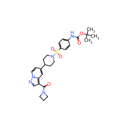 CC(C)(C)OC(=O)Nc1ccc(S(=O)(=O)N2CCC(c3ccn4ncc(C(=O)N5CCC5)c4c3)CC2)cc1